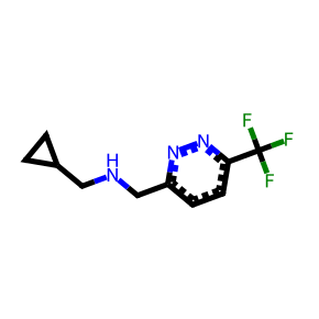 FC(F)(F)c1ccc(CNCC2CC2)nn1